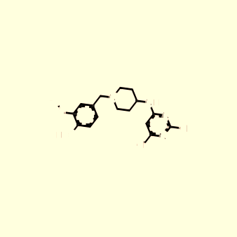 CCOc1cc(CN2CCC(Nc3cc(Cl)nc(Cl)n3)CC2)ccc1C